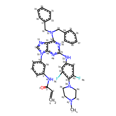 C=CC(=O)Nc1cccc(-n2cnc3c(N(Cc4ccccc4)Cc4ccccc4)nc(Nc4cc(F)c(N5CCN(C)CC5)c(F)c4)nc32)c1